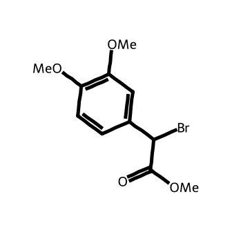 COC(=O)C(Br)c1ccc(OC)c(OC)c1